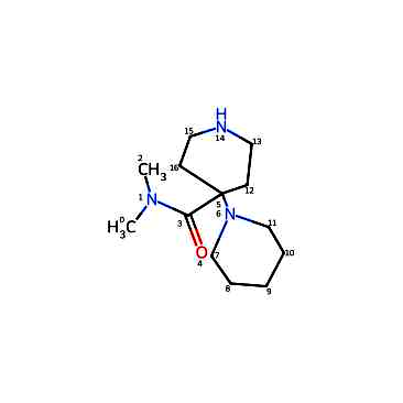 CN(C)C(=O)C1(N2CCCCC2)CCNCC1